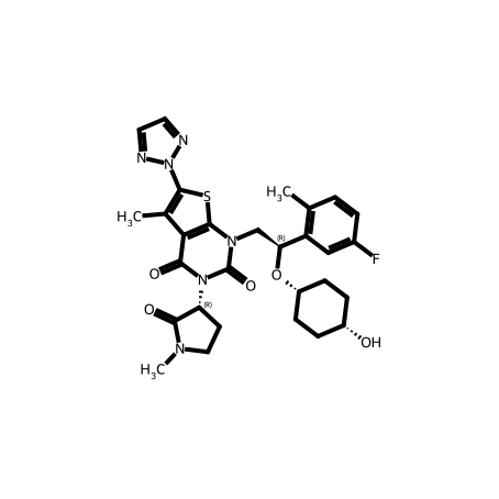 Cc1ccc(F)cc1[C@H](Cn1c(=O)n([C@@H]2CCN(C)C2=O)c(=O)c2c(C)c(-n3nccn3)sc21)O[C@H]1CC[C@@H](O)CC1